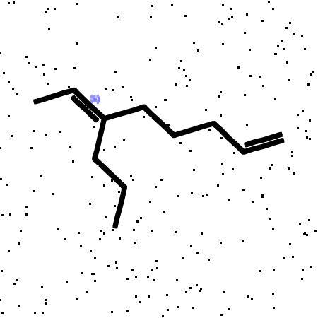 C=CCCC/C(=C/C)CCC